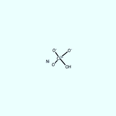 [Ni].[O-][Cl+3]([O-])([O-])O